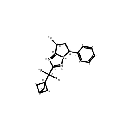 F[C@H]1C[C@@H](c2ccccc2)n2nc(C(F)(F)C34CC(C3)C4)nc21